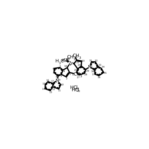 CC1=Cc2c(cccc2-n2ccc3ccccc32)[CH]1[Zr]([CH]1C(C)=Cc2c1cccc2-n1ccc2ccccc21)=[Si](C)C.Cl.Cl